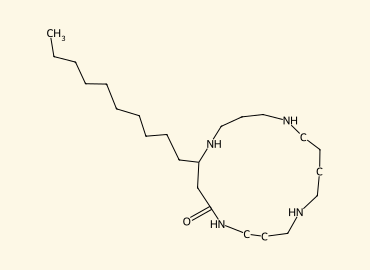 CCCCCCCCCCC1CC(=O)NCCCNCCCCNCCCN1